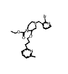 CCOC(=O)N1CCN(Cc2cccnc2Br)CC1OCCCc1cccc(C)n1